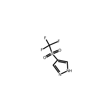 O=S(=O)(c1cn[nH]c1)C(F)(F)F